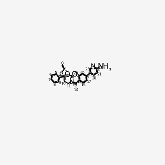 C=CC[C@]1(c2ccccc2)CCN([C@@H](C)c2ccc(-c3ccc(N)nc3)cc2)C(=O)O1